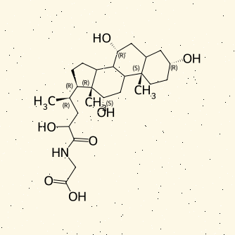 C[C@H](CC(O)C(=O)NCC(=O)O)[C@H]1CCC2C3C(C[C@H](O)[C@@]21C)[C@@]1(C)CC[C@@H](O)CC1C[C@H]3O